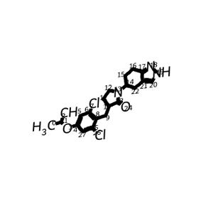 CC(C)Oc1cc(Cl)c(CC2CCN(C3CCc4n[nH]cc4C3)C2=O)c(Cl)c1